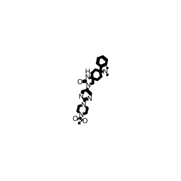 CN(C)C1(c2ccccc2)CCC2(CC1)CN(c1cnc(N3CCN(S(C)(=O)=O)CC3)nc1)C(=O)N2